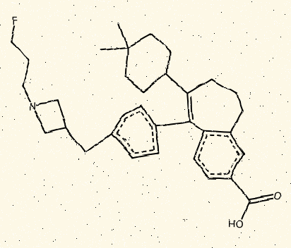 CC1(C)CCC(C2=C(c3ccc(CC4CN(CCCF)C4)cc3)c3ccc(C(=O)O)cc3CCC2)CC1